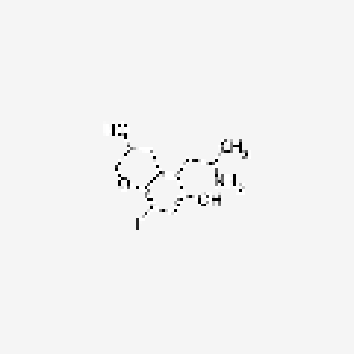 CC(N)Cc1c(O)cc(I)c2c1CC(O)CO2